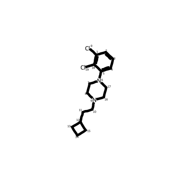 Clc1cccc(N2CCN(CCC3CCC3)CC2)c1Cl